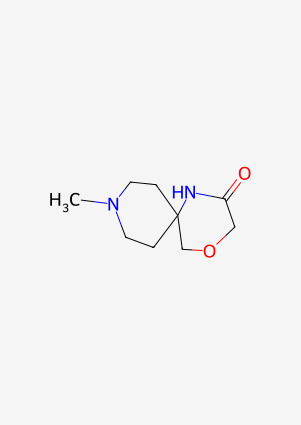 CN1CCC2(CC1)COCC(=O)N2